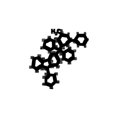 Cc1cc(-c2ccccc2)cc([Si](c2ccccc2)(c2ccccc2)c2ccc3c(c2)c2ccccc2n3-c2ccccc2)c1